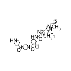 Cn1c(-c2cn(CC3(C)CSC3)nc2C(F)(F)F)cnc1C(=O)Nc1ccc(C(=O)N2CCN(C(=O)C3CCNCC3)CC2)c(Cl)c1